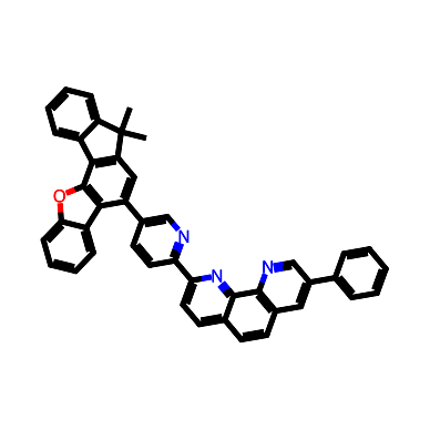 CC1(C)c2ccccc2-c2c1cc(-c1ccc(-c3ccc4ccc5cc(-c6ccccc6)cnc5c4n3)nc1)c1c2oc2ccccc21